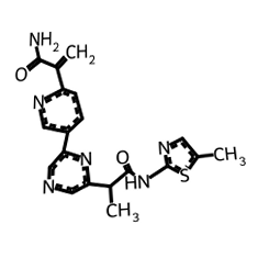 C=C(C(N)=O)c1ccc(-c2cncc(C(C)C(=O)Nc3ncc(C)s3)n2)cn1